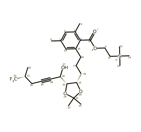 Cc1cc(C)c(C(=O)OCC[Si](C)(C)C)c(CCC[C@@H]2OC(C)(C)O[C@@H]2C(O)C#CC[C@@H](C)C(F)(F)F)c1